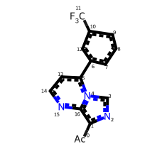 CC(=O)c1ncn2c(-c3cccc(C(F)(F)F)c3)ccnc12